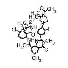 CC(=O)N1CCN(c2ccc(-c3nc4c([C@@H](C)Nc5ccc(Cl)nc5C(=O)NS(C)(=O)=O)cc(C)cc4c(=O)n3C)cc2F)CC1(C)C